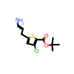 CC(C)(C)OC(=O)c1sc(CC=CN)cc1Cl